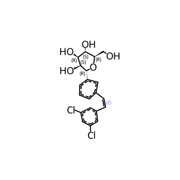 OC[C@H]1O[C@H](c2cccc(/C=C\c3cc(Cl)cc(Cl)c3)c2)[C@@H](O)[C@@H](O)[C@@H]1O